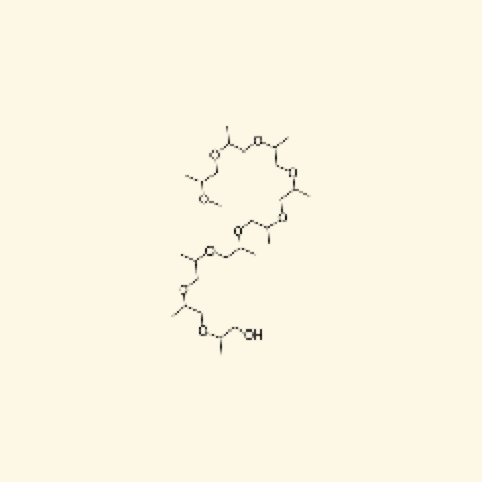 COC(C)COC(C)COC(C)COC(C)COC(C)COC(C)COC(C)COC(C)COC(C)CO